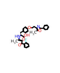 C/C(=C\C(=O)c1ccccc1F)N[C@@H](Cc1ccc(OCCc2nc(-c3ccccc3)oc2C)cc1)C(=O)O